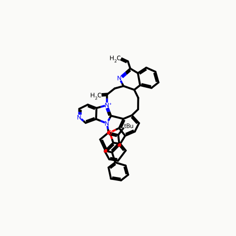 C=CC1=NC2CC(=C)[n+]3c(n(-c4ccc(-c5ccccc5)cc4C(C)(C)C)c4cnccc43)-c3c(ccc4c3oc3ccccc34)CCC2c2ccccc21